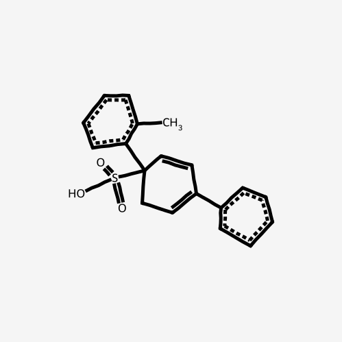 Cc1ccccc1C1(S(=O)(=O)O)C=CC(c2ccccc2)=CC1